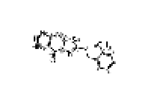 Cc1ccccc1CCc1nn2c(=O)c3[nH]nnc3nc2s1